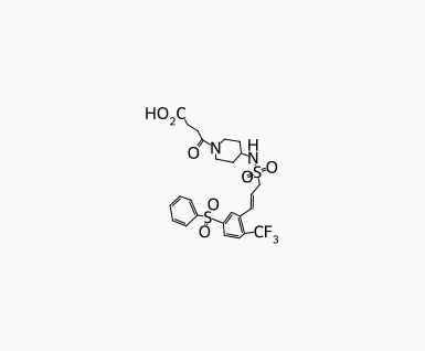 O=C(O)CCC(=O)N1CCC(NS(=O)(=O)CC=Cc2cc(S(=O)(=O)c3ccccc3)ccc2C(F)(F)F)CC1